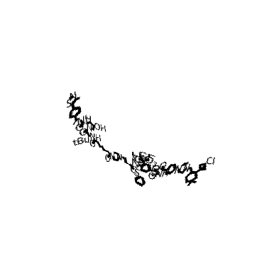 Cc1ncsc1-c1ccc([C@H](C)NC(=O)[C@@H]2C[C@@H](O)CN2C(=O)[C@@H](NC(=O)CCCCCC(=O)N2CCN(CC[C@H](CSc3ccccc3)Nc3ccc(S(=O)(=O)NC(=O)c4ccc(N5CCN(CC6=C(C78CC(Cl)(C7)C8)CC(C)(C)CC6)CC5)cc4)cc3S(=O)(=O)C(F)(F)F)CC2)C(C)(C)C)cc1